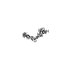 CC1CN(c2ccc(S(F)(F)(F)(F)F)cn2)CCN1C(=O)C1CC(OC[C@H](C)Nc2cn[nH]c(=O)c2C(F)(F)F)C1